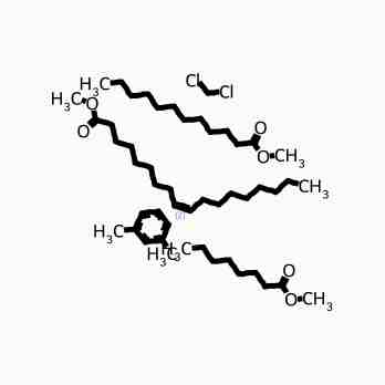 CCCCCCCC(=O)OC.CCCCCCCC/C=C\CCCCCCCC(=O)OC.CCCCCCCCCCCC(=O)OC.Cc1cccc(C)c1.ClCCl